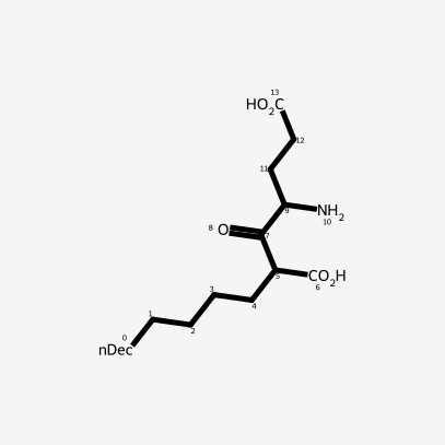 CCCCCCCCCCCCCCC(C(=O)O)C(=O)C(N)CCC(=O)O